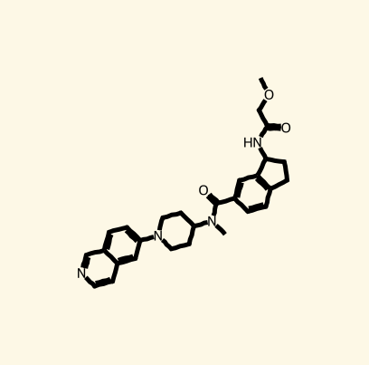 COCC(=O)NC1CCc2ccc(C(=O)N(C)C3CCN(c4ccc5cnccc5c4)CC3)cc21